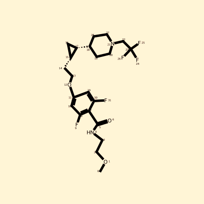 COCCNC(=O)c1c(F)cc(OCC[C@@H]2C[C@@H]2C2CCN(CC(F)(F)F)CC2)cc1F